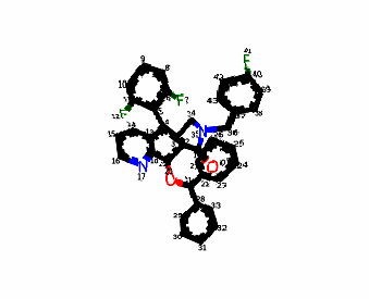 O=C1c2c(c(-c3c(F)cccc3F)c3cccnc3c2OC(c2ccccc2)c2ccccc2)CN1Cc1ccc(F)cc1